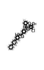 COc1cc(Cl)ccc1Oc1ccccc1NS(=O)(=O)c1ccc(C(=O)Nc2ccc(N3CCC(N4CCCCC4)CC3)cc2)cc1